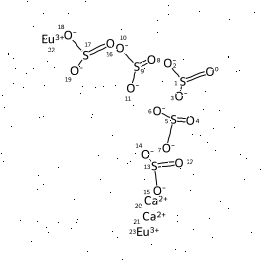 O=S([O-])[O-].O=S([O-])[O-].O=S([O-])[O-].O=S([O-])[O-].O=S([O-])[O-].[Ca+2].[Ca+2].[Eu+3].[Eu+3]